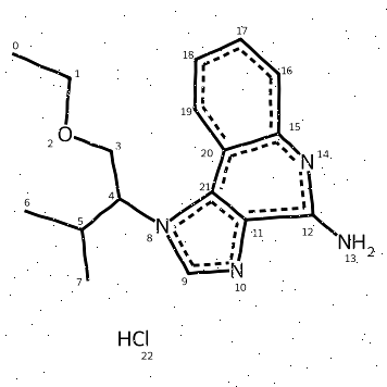 CCOCC(C(C)C)n1cnc2c(N)nc3ccccc3c21.Cl